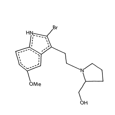 COc1ccc2[nH]c(Br)c(CCN3CCCC3CO)c2c1